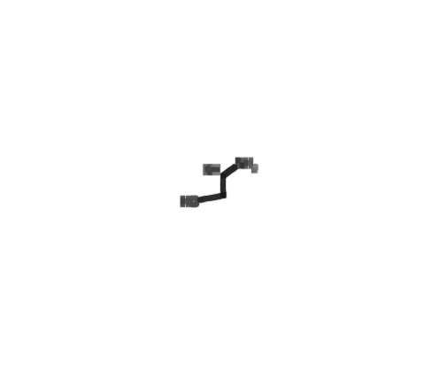 NCCO.[KH]